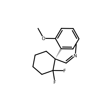 C/N=C\[C@]1(c2ccccc2OC)CCCCC1(F)F